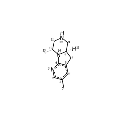 Cc1cnc2c(c1)C[C@@H]1CNC[C@@H](C)N21